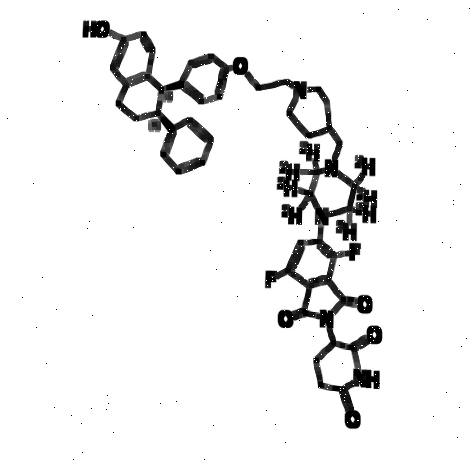 [2H]C1([2H])N(CC2CCN(CCOc3ccc([C@@H]4c5ccc(O)cc5CC[C@@H]4c4ccccc4)cc3)CC2)C([2H])([2H])C([2H])([2H])N(c2cc(F)c3c(c2F)C(=O)N(C2CCC(=O)NC2=O)C3=O)C1([2H])[2H]